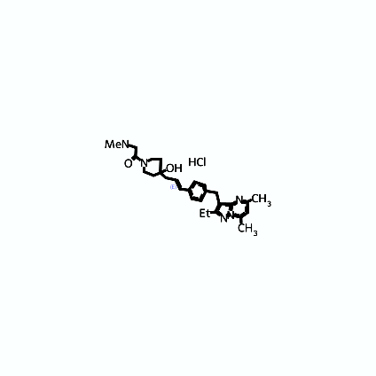 CCc1nn2c(C)cc(C)nc2c1Cc1ccc(/C=C/CC2(O)CCN(C(=O)CNC)CC2)cc1.Cl